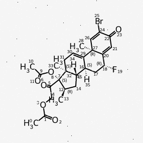 CC(=O)OCC(=O)[C@]1(OC(C)=O)[C@H](C)C[C@H]2[C@@H]3C[C@@H](F)C4=CC(=O)C(Br)=C[C@]4(C)C3=CC[C@@]21C